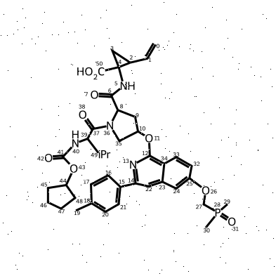 C=CC1CC1(NC(=O)C1CC(Oc2nc(-c3ccc(C)cc3)cc3cc(OCP(C)(C)=O)ccc23)CN1C(=O)C(NC(=O)OC1CCCC1)C(C)C)C(=O)O